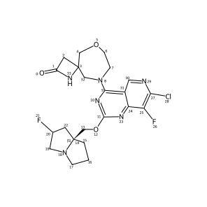 O=C1CC2(COCCN(c3nc(OC[C@@]45CCCN4CC(F)C5)nc4c(F)c(Cl)ncc34)C2)N1